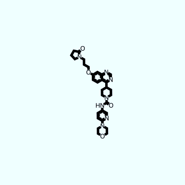 O=C1CCCN1CCCOc1ccc2c(C3CCN(C(=O)Nc4ccc(N5CCOCC5)nc4)CC3)ncnc2c1